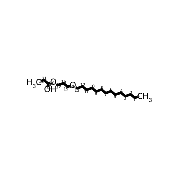 CCCCCCCCCCCCCCOCCCOC(O)CC